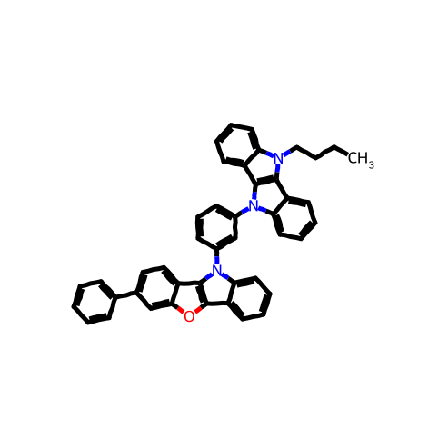 CCCCn1c2ccccc2c2c1c1ccccc1n2-c1cccc(-n2c3ccccc3c3oc4cc(-c5ccccc5)ccc4c32)c1